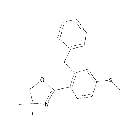 CSc1ccc(C2=NC(C)(C)CO2)c(Cc2ccccc2)c1